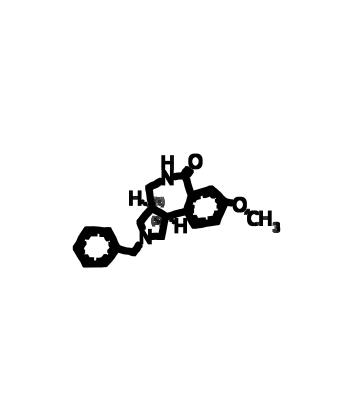 COc1ccc2c(c1)C(=O)NC[C@@H]1CN(Cc3ccccc3)C[C@H]21